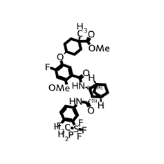 COc1cc(F)c(O[C@H]2CC[C@@](C)(C(=O)OC)CC2)cc1C(=O)N[C@@H]1[C@@H]2CC[C@@H](C2)[C@@H]1C(=O)Nc1ccc(F)c(S(C)(F)(F)(F)P)c1